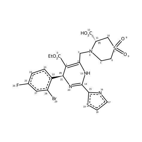 CCOC(=O)C1=C(CN2CCS(=O)(=O)C[C@H]2C(=O)O)NC(c2nccs2)=N[C@H]1c1ccc(F)cc1Br